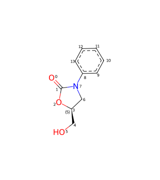 O=C1O[C@H](CO)CN1c1ccccc1